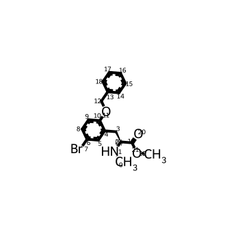 CN[C@@H](Cc1cc(Br)ccc1OCc1ccccc1)C(=O)OC